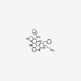 CN1C2CCC1CC(C(=O)C(C1=C(C(=O)O)C(c3c(Cl)cccc3Cl)C(C(=O)O)=C(C(Cc3ccccc3)OCCCN)N1)N1CCNCC1)C2